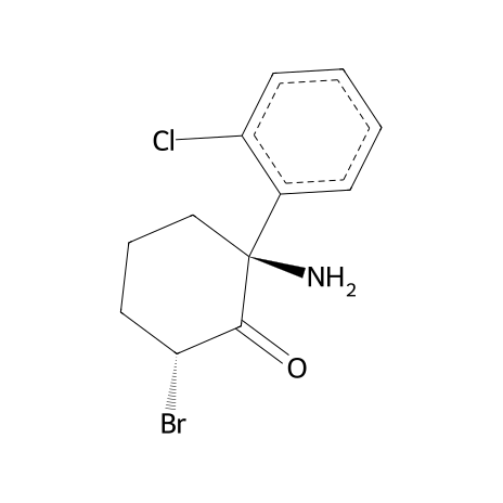 N[C@]1(c2ccccc2Cl)CCC[C@@H](Br)C1=O